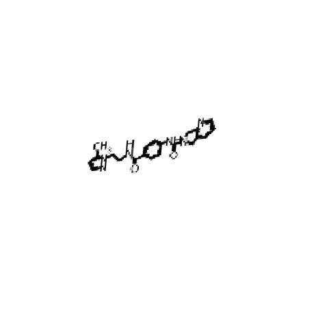 Cc1ccnn1CCNC(=O)c1ccc(NC(=O)N2Cc3cccnc3C2)cc1